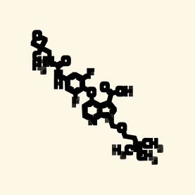 CC1(CNC(=O)Nc2cc(F)c(Oc3ccnc4c3c(C(=O)O)cn4COCC[Si](C)(C)C)c(F)c2)COC1